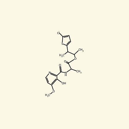 COc1ccnc(C(=O)NC(C)C(=O)OC(C)C(C)c2ccc(Cl)s2)c1O